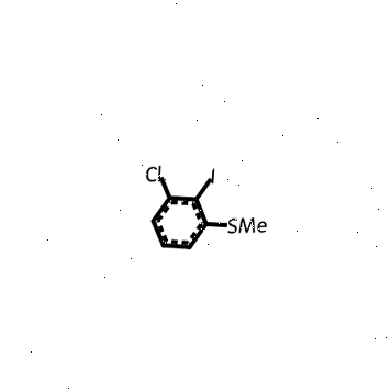 CSc1cccc(Cl)c1I